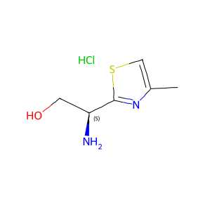 Cc1csc([C@@H](N)CO)n1.Cl